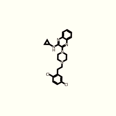 Clc1ccc(Cl)c(CCN2CCN(c3nc4ccccc4nc3NC3CC3)CC2)c1